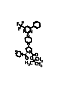 CC(C)(C)OC(=O)N1C[C@@H](N2CCN(c3nc(-c4ccccc4)cc(C(F)(F)F)n3)CC2)C[C@H]1C(=O)N1CCSC1